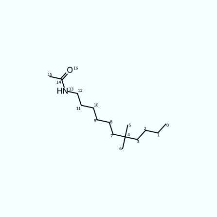 CCCCC(C)(C)CCCCCCNC(C)=O